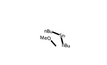 CCC[CH2][Sn][CH2]CCC.COC